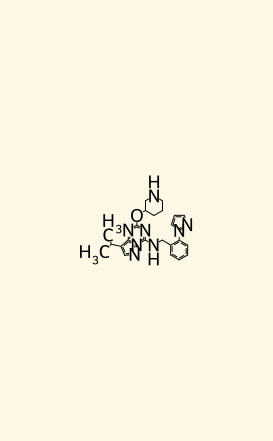 CC(C)c1cnn2c(NCc3ccccc3-n3cccn3)nc(OC3CCCNC3)nc12